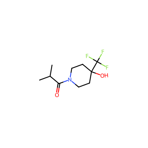 CC(C)C(=O)N1CCC(O)(C(F)(F)F)CC1